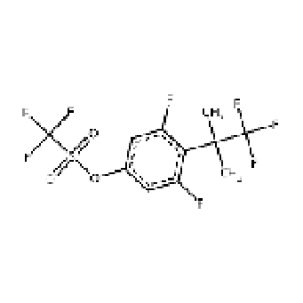 CC(C)(c1c(F)cc(OS(=O)(=O)C(F)(F)F)cc1F)C(F)(F)F